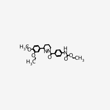 CCOC(=O)Nc1ccc(C(=O)N2CCCC(c3ccc(OC)c(OCC)c3)=N2)cc1